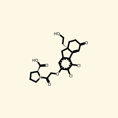 O=C1C=C2c3c(cc(OCC(=O)N4CCC[C@H]4C(=O)O)c(Cl)c3Cl)C[C@@]2(CCO)CC1